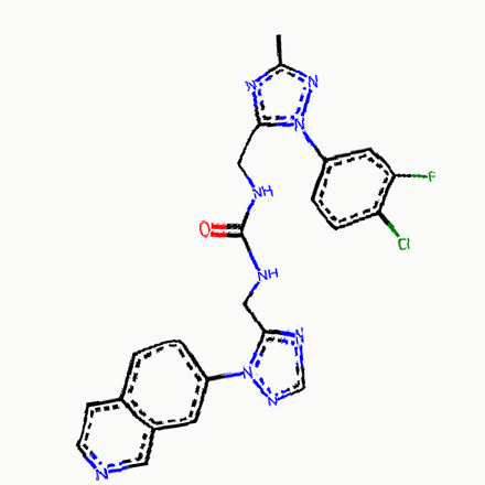 Cc1nc(CNC(=O)NCc2ncnn2-c2ccc3ccncc3c2)n(-c2ccc(Cl)c(F)c2)n1